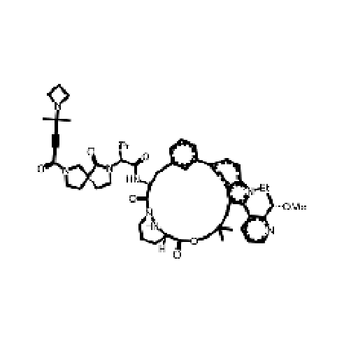 CCn1c(-c2cccnc2[C@H](C)OC)c2c3cc(ccc31)-c1cccc(c1)C[C@H](NC(=O)C(C(C)C)N1CC[C@]3(CCN(C(=O)C#CC(C)(C)N4CCC4)C3)C1=O)C(=O)N1CCC[C@H](N1)C(=O)OCC(C)(C)C2